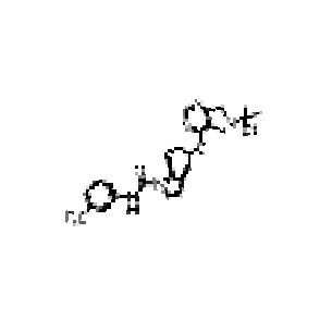 CCC(C)(C)N1Cc2ncnc(OC3C=c4ccn(C(=O)Nc5cccc(C(F)(F)F)c5)c4=CC3)c2C1